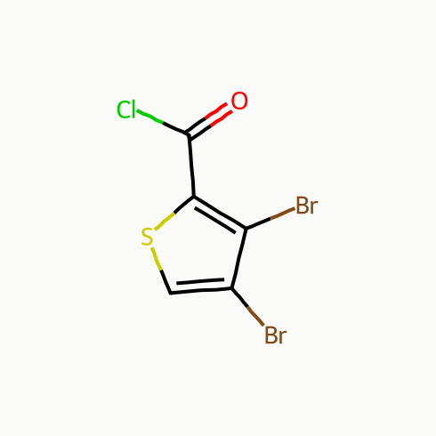 O=C(Cl)c1scc(Br)c1Br